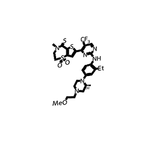 CCc1cc(N2CCN(CCOC)C[C@@H]2C)ccc1Nc1ncc(C(F)(F)F)c(-c2cc3c(s2)C(=S)N(C)CCS3(=O)=O)n1